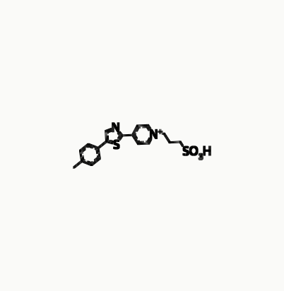 Cc1ccc(-c2cnc(-c3cc[n+](CCCS(=O)(=O)O)cc3)s2)cc1